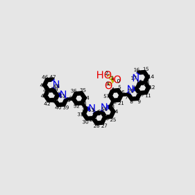 O=S(O)Oc1cc(-c2ccc3ccc4cccnc4c3n2)cc(-c2ccc3ccc4ccc(-c5cccc(-c6ccc7ccc8cccnc8c7n6)c5)nc4c3n2)c1